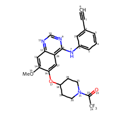 C#Cc1cccc(Nc2ncnc3cc(OC)c(OC4CCN(C(=O)C(F)(F)F)CC4)cc23)c1